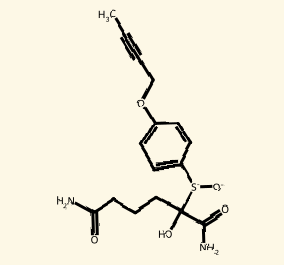 CC#CCOc1ccc([S+]([O-])C(O)(CCCC(N)=O)C(N)=O)cc1